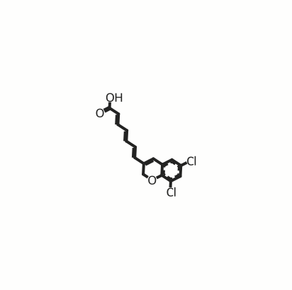 O=C(O)C=CC=CC=CC1=Cc2cc(Cl)cc(Cl)c2OC1